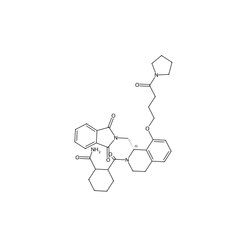 NC(=O)C1CCCCC1C(=O)N1CCc2cccc(OCCCC(=O)N3CCCC3)c2[C@H]1CN1C(=O)c2ccccc2C1=O